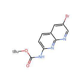 CC(C)(C)OC(=O)Nc1ccc2cc(Br)cnc2n1